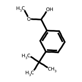 COC(O)c1cccc(C(C)(C)C)c1